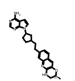 C[C@H]1CNc2nc3cc(CCC4CCC(n5ccc6c(N)ncnc65)C4)ccc3cc2O1